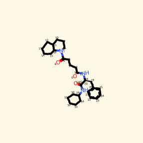 O=C(CCCC(=O)N1CCCC2CCCCC21)N[C@@H](Cc1ccccc1)C(=O)NC1CCCCC1